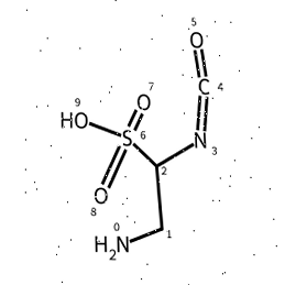 NCC(N=C=O)S(=O)(=O)O